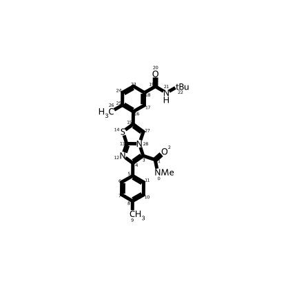 CNC(=O)c1c(-c2ccc(C)cc2)nc2sc(-c3cc(C(=O)NC(C)(C)C)ccc3C)cn12